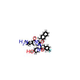 C/C(=C\C(=O)N(C)[C@H](Cc1ccc2ccccc2c1)C(=O)N(C)[C@H](Cc1ccc(F)cc1)C(=O)N1CCC(O)CC1)CC(C)(C)N